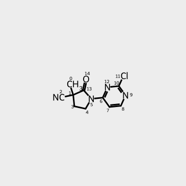 CC1(C#N)CCN(c2ccnc(Cl)n2)C1=O